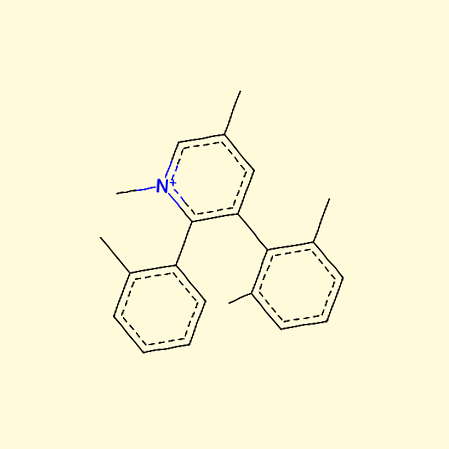 Cc1cc(-c2c(C)cccc2C)c(-c2ccccc2C)[n+](C)c1